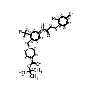 CC(C)(C)OC(=O)N1CCN(Cc2ccc(NC(=O)CCc3ccc(Br)cc3F)cc2C(F)(F)F)CC1